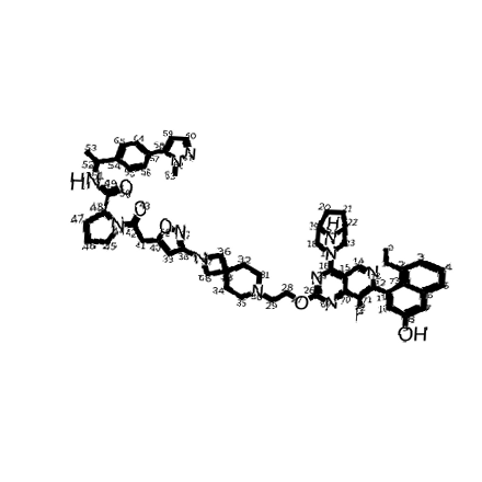 CCc1cccc2cc(O)cc(-c3ncc4c(N5CC6CCC(C5)N6)nc(OCCN5CCC6(CC5)CN(c5cc(CC(=O)N7CCC[C@H]7C(=O)NC(C)c7ccc(-c8ccnn8C)cc7)on5)C6)nc4c3F)c12